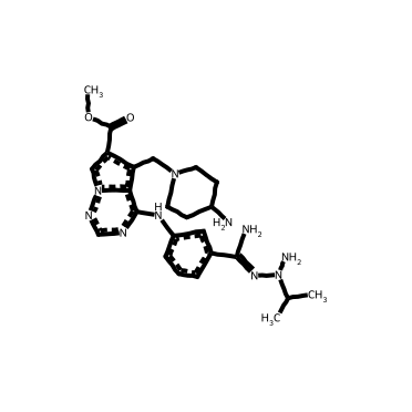 COC(=O)c1cn2ncnc(Nc3cccc(/C(N)=N/N(N)C(C)C)c3)c2c1CN1CCC(N)CC1